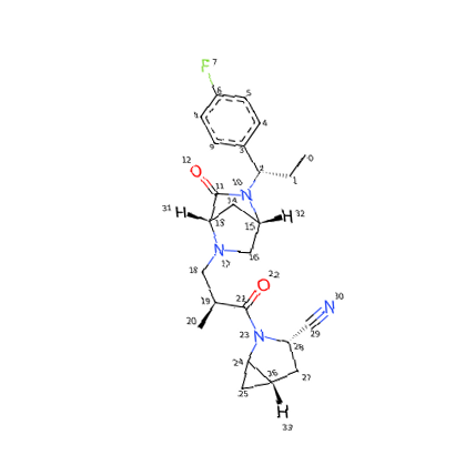 CC[C@@H](c1ccc(F)cc1)N1C(=O)[C@@H]2C[C@H]1CN2C[C@H](C)C(=O)N1C2C[C@H]2C[C@H]1C#N